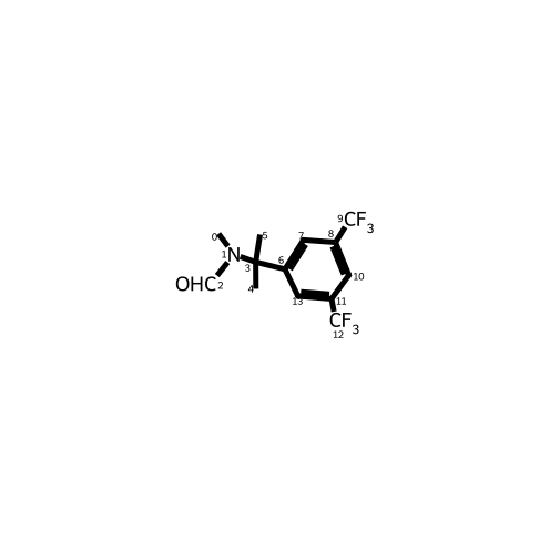 CN(C=O)C(C)(C)c1cc(C(F)(F)F)cc(C(F)(F)F)c1